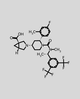 Cc1cc(F)ccc1[C@H]1C[C@@H](N2C[C@@H]3C[C@]3(C(=O)O)C2)CCN1C(=O)N(C)[C@@H](C)c1cc(C(F)(F)F)cc(C(F)(F)F)c1